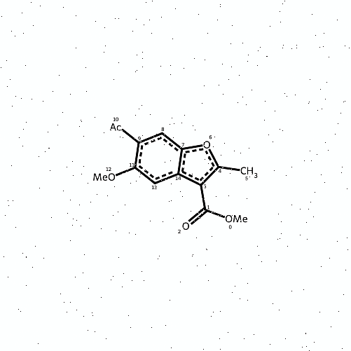 COC(=O)c1c(C)oc2cc(C(C)=O)c(OC)cc12